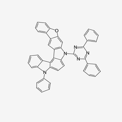 c1ccc(-c2nc(-c3ccccc3)nc(-n3c4cc5oc6ccccc6c5cc4c4c5c6ccccc6n(-c6ccccc6)c5ccc43)n2)cc1